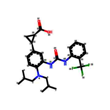 CC(C)CN(CC(C)C)c1ccc([C@H]2C[C@H]2C(=O)O)cc1NC(=O)Nc1ccccc1C(F)(F)F